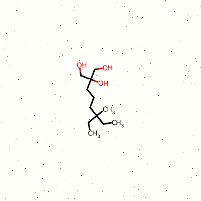 CCC(C)(CC)CCCC(O)(CO)CO